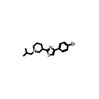 C[C](C)CN1CCCC(c2nc(-c3ccc(Br)cc3)cs2)C1